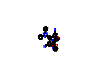 N#Cc1cc(C#N)cc(-c2cc(-c3nc(-c4ccccc4)nc(-c4ccccc4)n3)cc(-c3cc(C#N)cc(C#N)c3)c2-n2c3ccccc3c3c4oc5ccccc5c4ccc32)c1